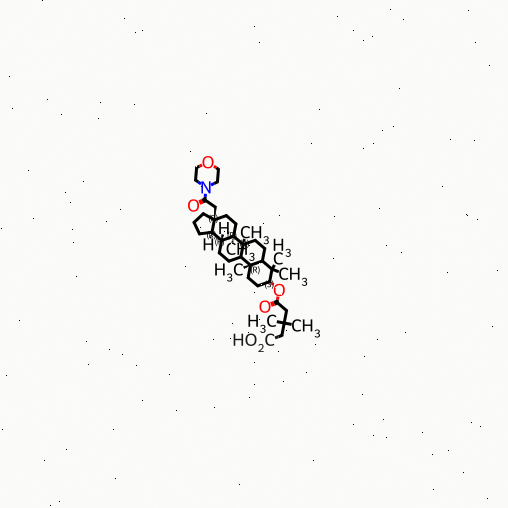 CC(C)(CC(=O)O)CC(=O)O[C@H]1CC[C@@]2(C)C(CC[C@]3(C)C2CC[C@@H]2[C@H]4CCC[C@]4(CC(=O)N4CCOCC4)CC[C@]23C)C1(C)C